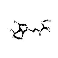 CC(C)(C)OC(=O)NCCn1nc(Br)c2c(N)ncnc21